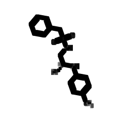 CC(C)[C@H](CNS(=O)(=O)Cc1ccccc1)Nc1ccc(C(F)(F)F)cc1